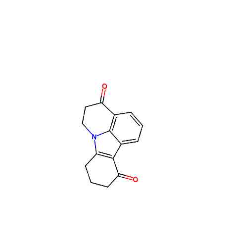 O=C1CCCc2c1c1cccc3c1n2CCC3=O